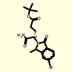 CC1c2cc(Br)ccc2C(=O)N1[C@@H](CCC(=O)OC(C)(C)C)C(N)=O